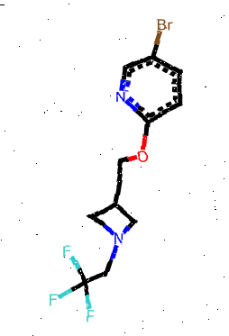 FC(F)(F)CN1CC(COc2ccc(Br)cn2)C1